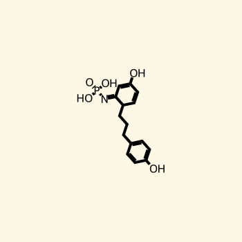 O=P(O)(O)/N=C1\C=C(O)C=CC1CCCc1ccc(O)cc1